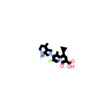 CC1=C2CN(c3c(F)cn4c(=O)c(C(=O)O)cc(C5CC5)c4c3C)C[C@@H]2NCC1